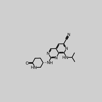 CC(C)Nc1nc(C#N)cc2cnc(N[C@H]3CCC(=O)NC3)nc12